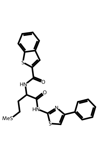 CSCCC(NC(=O)c1cc2ccccc2s1)C(=O)Nc1nc(-c2ccccc2)cs1